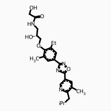 CCc1cc(-c2noc(-c3cnc(CC(C)C)c(C)c3)n2)cc(C)c1OC[C@H](O)CNC(=O)CO